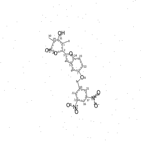 Cc1c(-c2cc3cc(OCc4cc([N+](=O)[O-])cc([N+](=O)[O-])c4)ccc3o2)oc(=O)c(C)c1O